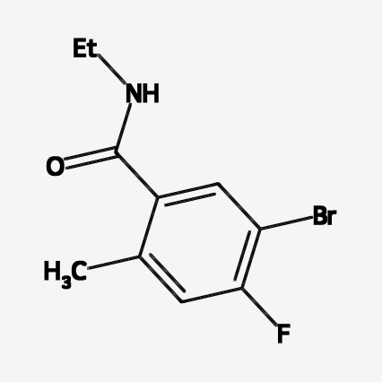 CCNC(=O)c1cc(Br)c(F)cc1C